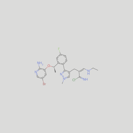 CCN/C=C(/Cc1cn(C)nc1-c1ccc(F)cc1[C@@H](C)Oc1cc(Br)cnc1N)C(=N)Cl